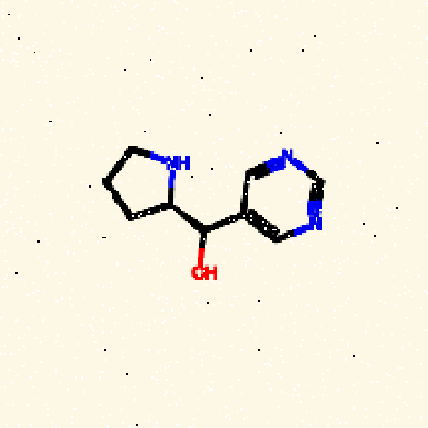 OC(c1cncnc1)[C@H]1CCCN1